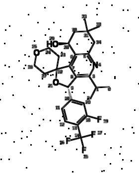 CC(C)c1nc2c(c3c1[C@H](c1ccc(C(F)(F)F)c(F)c1)OC31CCOCC1)[C@@H](O)CC(C)(C)C2